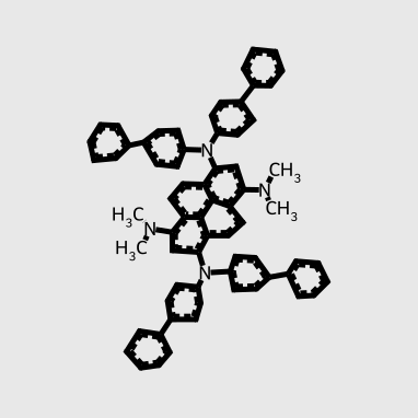 CN(C)c1cc(N(c2ccc(-c3ccccc3)cc2)c2ccc(-c3ccccc3)cc2)c2ccc3c(N(C)C)cc(N(c4ccc(-c5ccccc5)cc4)c4ccc(-c5ccccc5)cc4)c4ccc1c2c34